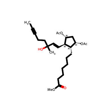 CC#CCCC(C)(O)C=C[C@@H]1[C@@H](CCCCCCC(=O)OC)[C@@H](OC(C)=O)C[C@H]1OC(C)=O